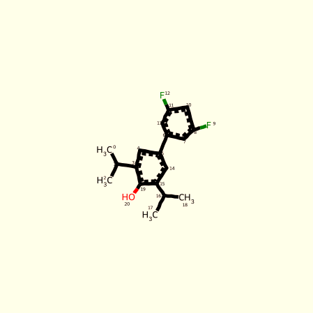 CC(C)c1cc(-c2cc(F)cc(F)c2)cc(C(C)C)c1O